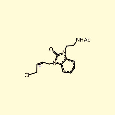 CC(=O)NCCn1c(=O)n(C/C=C\CCl)c2ccccc21